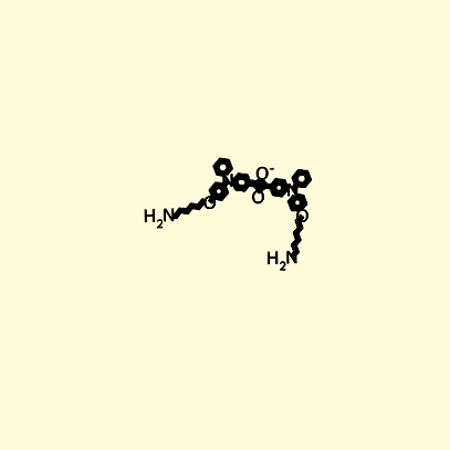 NCCCCCCOc1ccc(N(c2ccc(C3=C([O-])C(=C4C=CC(=[N+](c5ccc(OCCCCCCN)cc5)C5CCCCC5)C=C4)C3=O)cc2)C2CCCCC2)cc1